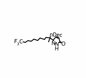 CCCCCCCCCCC(C)(CCCCCCCCC(F)(F)F)c1ccc(=O)[nH]n1